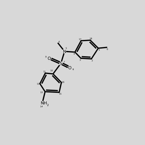 Cc1ccc(N(C)S(=O)(=O)c2ccc(N)cc2)cc1